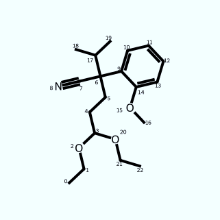 CCOC(CCC(C#N)(c1ccccc1OC)C(C)C)OCC